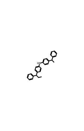 CCC(c1ccccc1)c1ccc(Nc2ccc(C(C)c3ccccc3)cc2)cc1